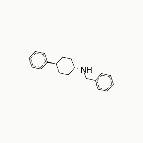 c1ccc(CN[C@H]2CC[C@H](c3ccccc3)CC2)cc1